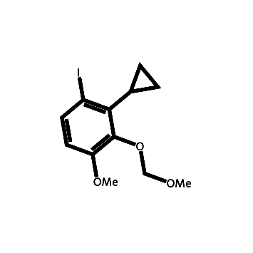 COCOc1c(OC)ccc(I)c1C1CC1